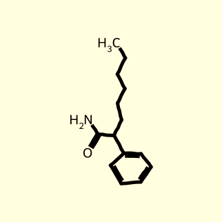 CCCCCCC(C(N)=O)c1ccccc1